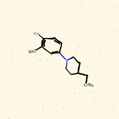 COCC1CCN(c2ccc([N+](=O)[O-])c(OC)c2)CC1